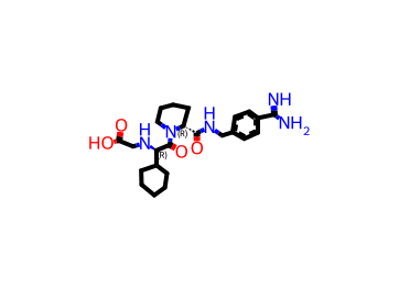 N=C(N)c1ccc(CNC(=O)[C@H]2CCCCN2C(=O)[C@H](NCC(=O)O)C2CCCCC2)cc1